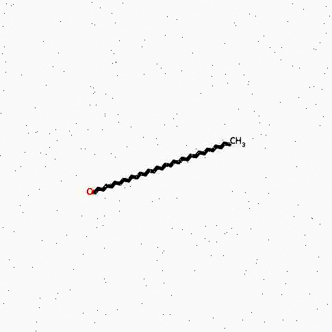 CCCCCCCCCCCCCCCCCCCCCCCCCCCCCCCCCC=O